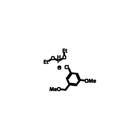 CCO[PH](=O)OCC.COCc1cc(Cl)cc(OC)c1